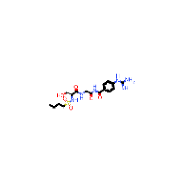 CCCCS(=O)(=O)N[C@@H](CO)C(=O)NCC(=O)NC(=O)c1ccc(NC(=N)N)cc1